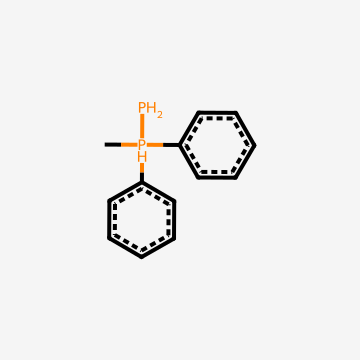 C[PH](P)(c1ccccc1)c1ccccc1